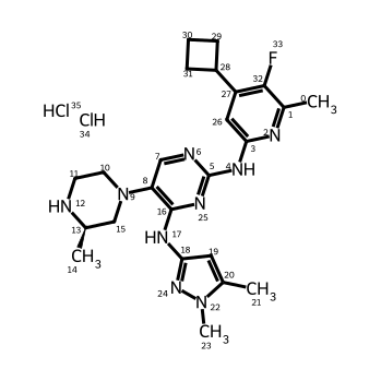 Cc1nc(Nc2ncc(N3CCN[C@H](C)C3)c(Nc3cc(C)n(C)n3)n2)cc(C2CCC2)c1F.Cl.Cl